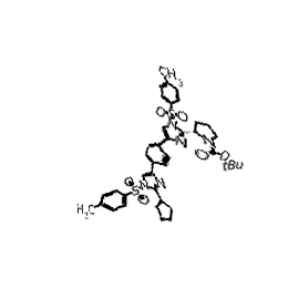 Cc1ccc(S(=O)(=O)n2cc(-c3ccc(-c4cn(S(=O)(=O)c5ccc(C)cc5)c([C@@H]5CCCN5C(=O)OC(C)(C)C)n4)cc3)nc2C2CCCC2)cc1